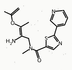 C=C(C)O/C(C)=C(\N)CN(C)C(=O)c1cnc(-c2cccnc2)s1